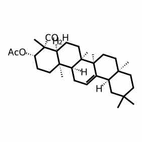 CC(=O)O[C@H]1CC[C@@]2(C)[C@H](CC[C@]3(C)[C@H]2CC=C2[C@@H]4CC(C)(C)CC[C@]4(C)CC[C@@]23C)[C@@]1(C)C(=O)O